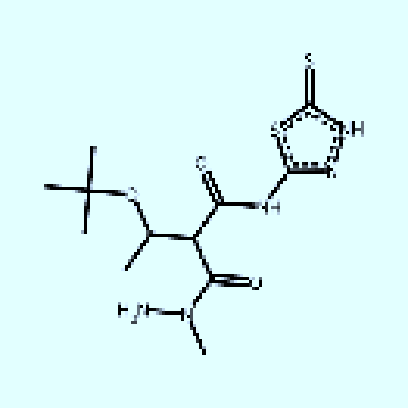 CC(OC(C)(C)C)C(C(=O)Nc1n[nH]c(=S)s1)C(=O)N(C)N